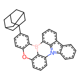 c1cc2c3c(c1)-n1c4ccccc4c4cccc(c41)B3c1cc(C34CC5CC(CC(C5)C3)C4)ccc1O2